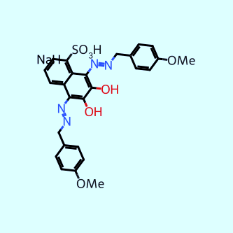 COc1ccc(CN=Nc2c(O)c(O)c(N=NCc3ccc(OC)cc3)c3c(S(=O)(=O)O)cccc23)cc1.[NaH]